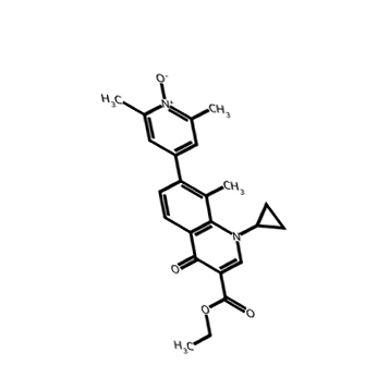 CCOC(=O)c1cn(C2CC2)c2c(C)c(-c3cc(C)[n+]([O-])c(C)c3)ccc2c1=O